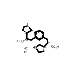 Cl.Cl.O=C(O)[C@@H](Cc1cccc(C[C@H](C(=O)O)[C@H]2CCNC2)c1)[C@H]1CCNC1